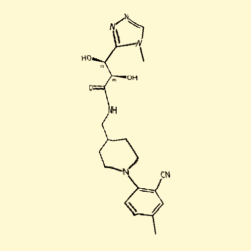 Cc1ccc(N2CCC(CNC(=O)[C@H](O)[C@@H](O)c3nncn3C)CC2)c(C#N)c1